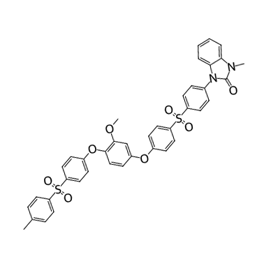 COc1cc(Oc2ccc(S(=O)(=O)c3ccc(-n4c(=O)n(C)c5ccccc54)cc3)cc2)ccc1Oc1ccc(S(=O)(=O)c2ccc(C)cc2)cc1